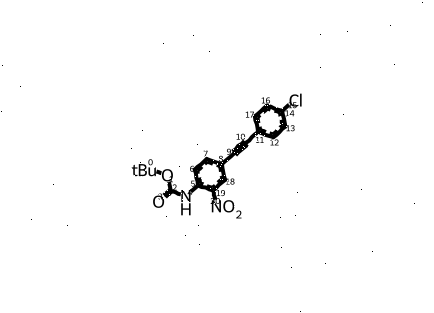 CC(C)(C)OC(=O)Nc1ccc(C#Cc2ccc(Cl)cc2)cc1[N+](=O)[O-]